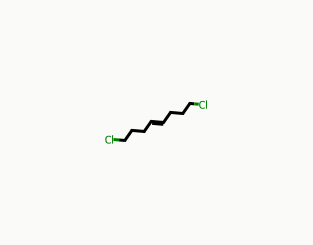 ClCCC/C=C/CCCCl